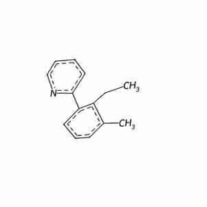 CCc1c(C)cccc1-c1ccccn1